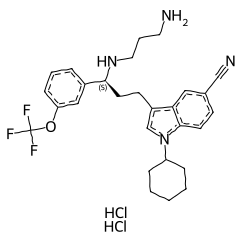 Cl.Cl.N#Cc1ccc2c(c1)c(CC[C@H](NCCCN)c1cccc(OC(F)(F)F)c1)cn2C1CCCCC1